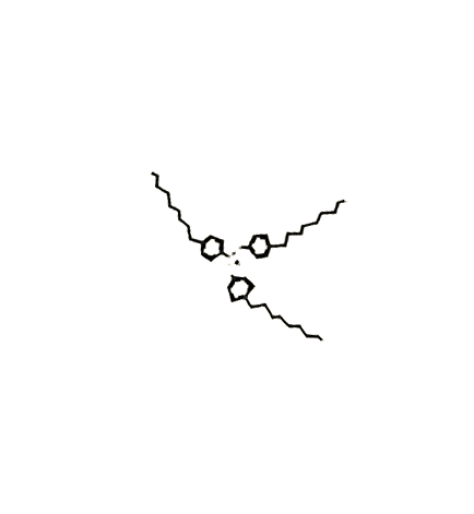 CCCCCCCCCc1ccc(OP(=O)(Oc2ccc(CCCCCCCCC)cc2)c2ccc(CCCCCCCCC)cc2)cc1